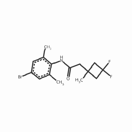 Cc1cc(Br)cc(C)c1NC(=O)CC1(C)CC(F)(F)C1